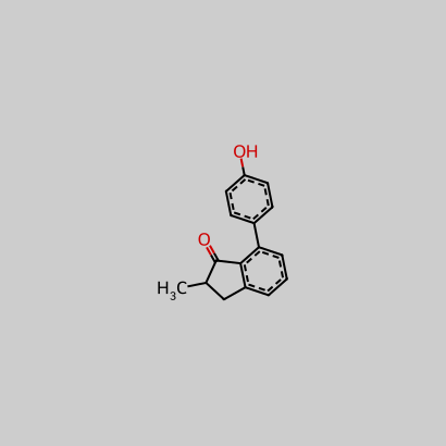 CC1Cc2cccc(-c3ccc(O)cc3)c2C1=O